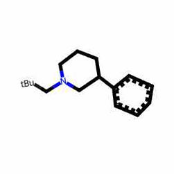 CC(C)(C)CN1CCCC(c2ccccc2)C1